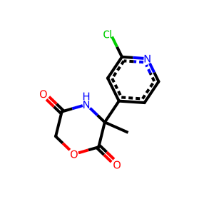 CC1(c2ccnc(Cl)c2)NC(=O)COC1=O